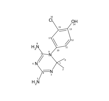 CC1(C)N=C(N)N=C(N)N1c1ccc(O)c(Cl)c1